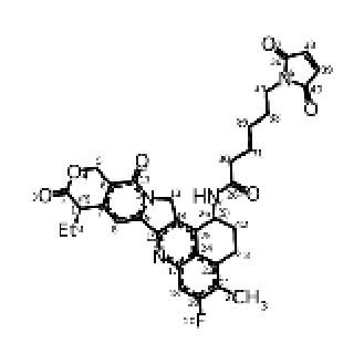 CC[C@H]1C(=O)OCc2c1cc1n(c2=O)Cc2c-1nc1cc(F)c(C)c3c1c2[C@@H](NC(=O)CCCCCN1C(=O)C=CC1=O)CC3